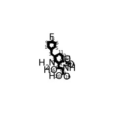 Nc1c(Cc2ccc(F)cc2)ccc2c1C(O)=C(C(=O)O)NS2(=O)=O